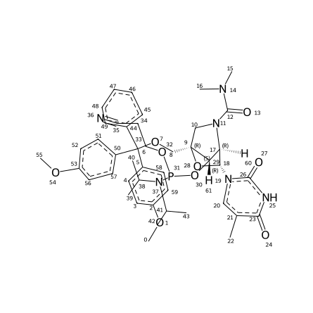 COc1ccc(C(OC[C@@]23CN(C(=O)N(C)C)[C@@H]([C@H](n4cc(C)c(=O)[nH]c4=O)O2)[C@@H]3OP(OCCC#N)N(C(C)C)C(C)C)(c2ccccc2)c2ccc(OC)cc2)cc1